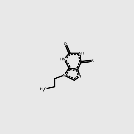 CCCn1cnc2c(=S)[nH]c(=O)[nH]c21